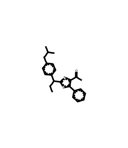 CCC(c1ccc(CC(C)C)cc1)c1nc(C(C)=O)c(-c2ccccc2)s1